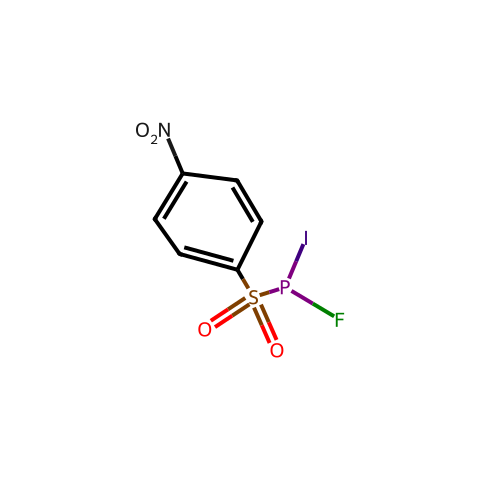 O=[N+]([O-])c1ccc(S(=O)(=O)P(F)I)cc1